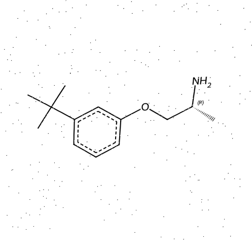 C[C@@H](N)COc1cccc(C(C)(C)C)c1